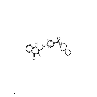 Cc1c(COc2ncc(C(=O)N3CCC4(CCCC4)CC3)cn2)[nH]c2ccccc2c1=O